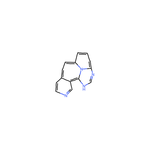 c1cc2ccc3ccncc3c3[nH]cnc(c1)N23